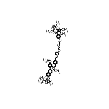 CCN(Cc1ccc(CCN2CC[C@@H](OCCOCCOc3ccc(C4=N[C@@H](C)c5nnc(C)n5-c5sc(C)c(C)c54)cc3)C2)cc1)c1cc(OC)ccc1C1CCc2cc(O[Si](C)(C)C(C)(C)C)ccc2C1